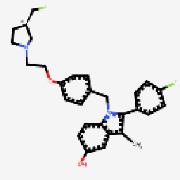 Cc1c(-c2ccc(F)cc2)n(Cc2ccc(OCCN3CC[C@@H](CF)C3)cc2)c2ccc(O)cc12